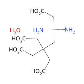 NC(N)(CC(=O)O)CC(CC(=O)O)(CC(=O)O)CC(=O)O.O